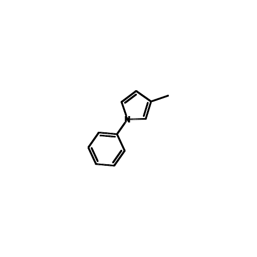 Cc1ccn(-c2ccccc2)c1